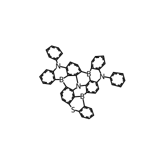 c1ccc(N2c3ccccc3B3c4ccc5c6c4N4c7c(ccc2c73)B2c3ccccc3N(c3ccccc3)c3ccc(c4c32)B6c2ccccc2S5)cc1